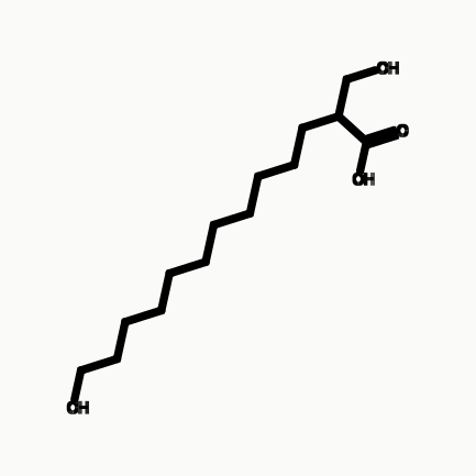 O=C(O)C(CO)CCCCCCCCCCCO